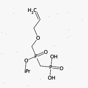 C=CCOCP(=O)(CP(=O)(O)O)OC(C)C